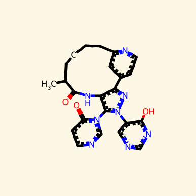 CC1CCCCc2cc(ccn2)-c2nn(-c3cncnc3O)c(-n3cnccc3=O)c2NC1=O